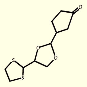 O=C1CCC(C2OCC(C3SCCS3)O2)C1